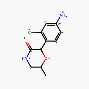 CC1CNC(=O)C(c2ccc(N)cc2Cl)O1